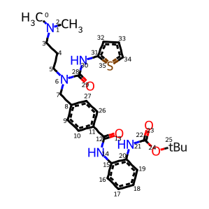 CN(C)CCCN(Cc1ccc(C(=O)Nc2ccccc2NC(=O)OC(C)(C)C)cc1)C(=O)Nc1cccs1